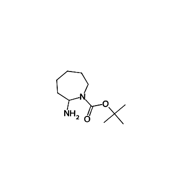 CC(C)(C)OC(=O)N1CCCCCC1N